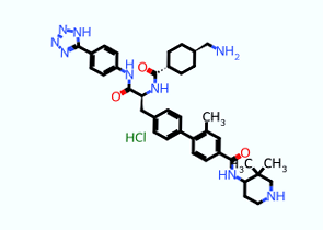 Cc1cc(C(=O)NC2CCNCC2(C)C)ccc1-c1ccc(C[C@H](NC(=O)[C@H]2CC[C@H](CN)CC2)C(=O)Nc2ccc(-c3nnn[nH]3)cc2)cc1.Cl